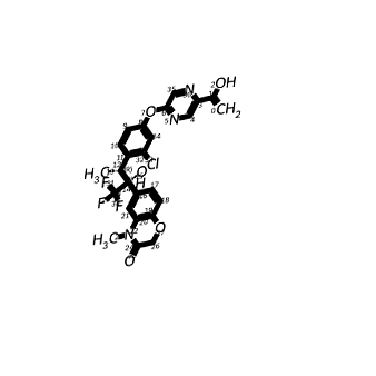 C=C(O)c1cnc(Oc2ccc([C@@H](C)[C@@](O)(c3ccc4c(c3)N(C)C(=O)CO4)C(F)(F)F)c(Cl)c2)cn1